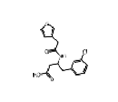 O=C(O)CC(Cc1cccc(Cl)c1)NC(=O)Cc1ccsc1